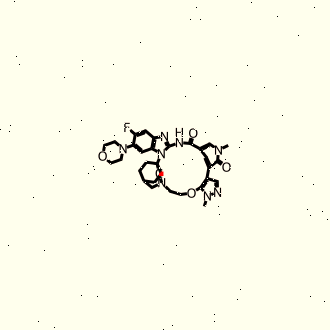 Cn1ncc2c1OCCN1CC3CCC(CC3)(C1)n1c(nc3cc(F)c(N4CCOCC4)cc31)NC(=O)c1cc-2c(=O)n(C)c1